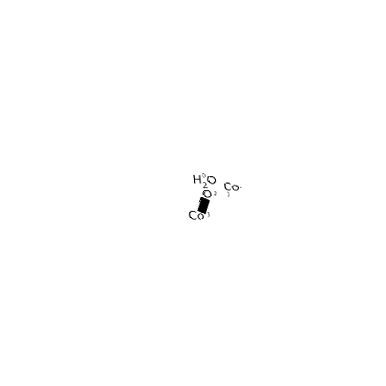 O.[Co].[O]=[Co]